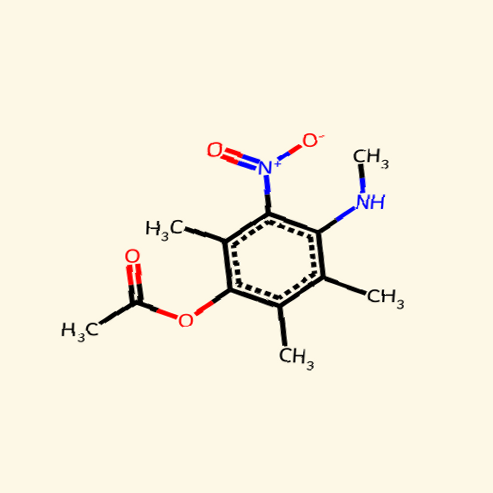 CNc1c(C)c(C)c(OC(C)=O)c(C)c1[N+](=O)[O-]